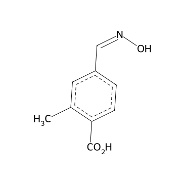 Cc1cc(/C=N\O)ccc1C(=O)O